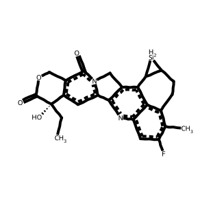 CC[C@@]1(O)C(=O)OCc2c1cc1n(c2=O)Cc2c-1nc1cc(F)c(C)c3c1c2C1[SiH2]C1CC3